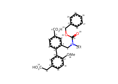 CCN(Cc1cc(C(=O)O)ccc1-c1cc(CC(=O)O)ccc1OC)C(=O)OCc1ccccc1